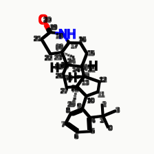 CC(C)(C)c1ccccc1C1CC[C@H]2[C@@H]3CCC4NC(=O)CC[C@]4(C)[C@@H]3CC[C@]12C